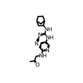 CC(=O)CNc1ccc(NC(=NC#N)NC2CC3CCC2C3)cn1